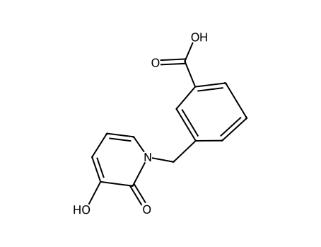 O=C(O)c1cccc(Cn2cccc(O)c2=O)c1